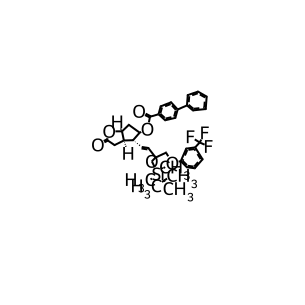 CC(C)(C)[Si](C)(C)OC(/C=C/[C@@H]1[C@H]2CC(=O)O[C@H]2C[C@H]1OC(=O)c1ccc(-c2ccccc2)cc1)COc1cccc(C(F)(F)F)c1